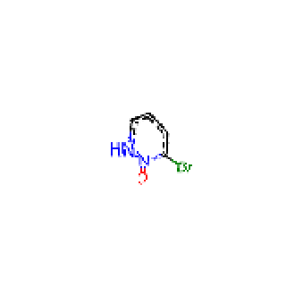 O=[n+]1[nH]cccc1Br